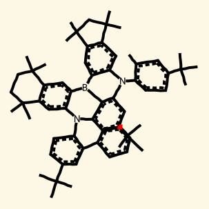 Cc1cc(C(C)(C)C)ccc1N1c2cc3c(cc2B2c4cc5c(cc4N(c4ccc(C(C)(C)C)cc4-c4ccccc4)c4cc(C(C)(C)C)cc1c42)C(C)(C)CCC5(C)C)C(C)(C)CC3(C)C